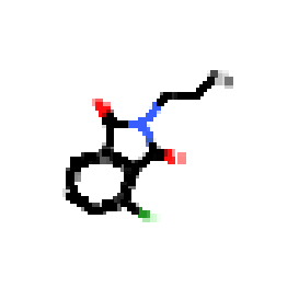 CCCN1C(=O)c2cccc(Cl)c2C1=O